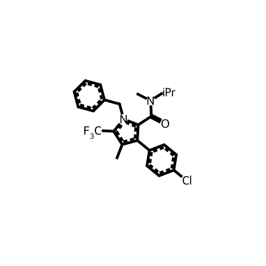 Cc1c(-c2ccc(Cl)cc2)c(C(=O)N(C)C(C)C)n(Cc2ccccc2)c1C(F)(F)F